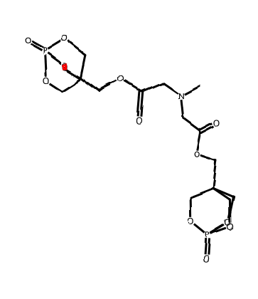 CN(CC(=O)OCC12COP(=O)(OC1)OC2)CC(=O)OCC12COP(=O)(OC1)OC2